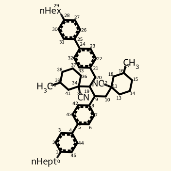 CCCCCCCc1ccc(-c2ccc(C(CC3(C#N)CCCC(C)C3)C(Cc3ccc(-c4ccc(CCCCCC)cc4)cc3)C3(C#N)CCCC(C)C3)cc2)cc1